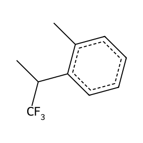 Cc1ccccc1C(C)C(F)(F)F